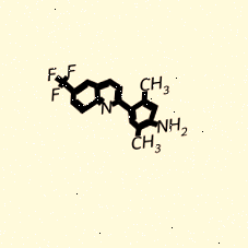 Cc1cc(-c2ccc3cc(C(F)(F)F)ccc3n2)c(C)cc1N